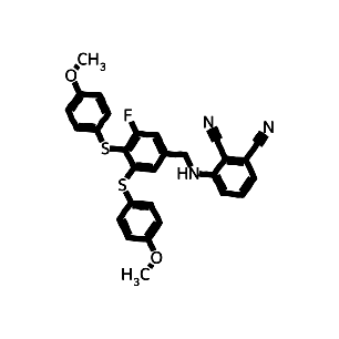 COc1ccc(Sc2cc(CNc3cccc(C#N)c3C#N)cc(F)c2Sc2ccc(OC)cc2)cc1